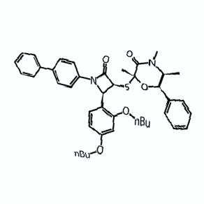 CCCCOc1ccc([C@@H]2[C@H](S[C@@]3(C)O[C@H](c4ccccc4)[C@H](C)N(C)C3=O)C(=O)N2c2ccc(-c3ccccc3)cc2)c(OCCCC)c1